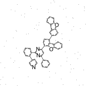 c1ccc(-c2cc(-c3ccc(-c4ccc5oc6ccccc6c5c4)c4c3oc3ccccc34)nc(-c3ccccc3-c3ccncc3)n2)cc1